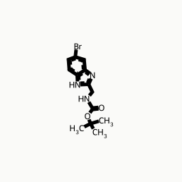 CC(C)(C)OC(=O)NCc1nc2cc(Br)ccc2[nH]1